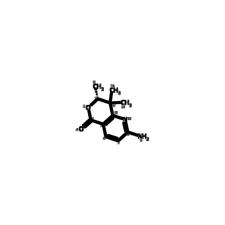 C[C@H]1OC(=O)c2ccc(N)nc2C1(C)C